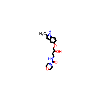 Cc1cc2cc(OCC(O)CCNC(=O)N3CCOCC3)ccc2[nH]1